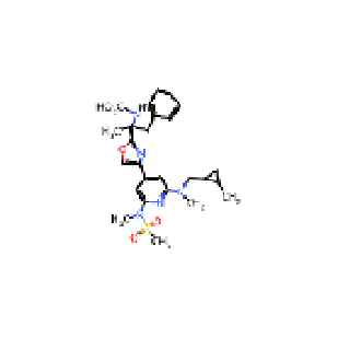 CC1CC1CN(C)c1cc(-c2coc(C(C)(Cc3ccccc3)N(C(=O)O)C(C)(C)C)n2)cc(N(C)S(C)(=O)=O)n1